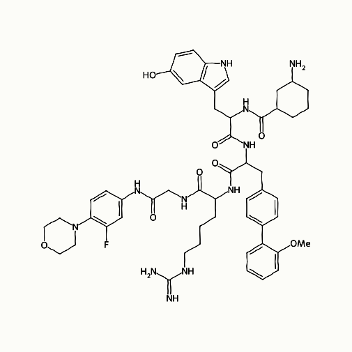 COc1ccccc1-c1ccc(CC(NC(=O)C(Cc2c[nH]c3ccc(O)cc23)NC(=O)C2CCCC(N)C2)C(=O)NC(CCCCNC(=N)N)C(=O)NCC(=O)Nc2ccc(N3CCOCC3)c(F)c2)cc1